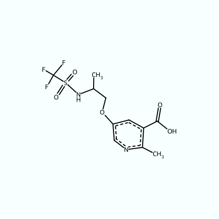 Cc1ncc(OCC(C)NS(=O)(=O)C(F)(F)F)cc1C(=O)O